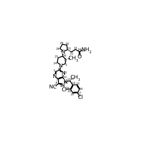 C[C@@H]1CN(c2cnc3c(C#N)nn([C@H](C)c4ccc(Cl)cc4Cl)c3n2)CCC1N1CCC[C@H]1CCC(N)=O